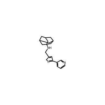 C1=C(CNC23CC4CC(CC(C4)C2)C3)CN=C1c1cccnc1